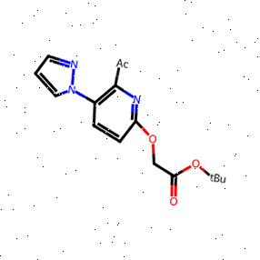 CC(=O)c1nc(OCC(=O)OC(C)(C)C)ccc1-n1cccn1